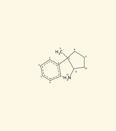 CC1(c2ccccc2)CCCC1N